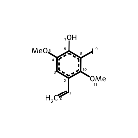 C=Cc1cc(OC)c(O)c(I)c1OC